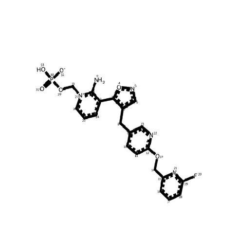 Nc1c(-c2oncc2Cc2ccc(OCc3cccc(F)n3)nc2)ccc[n+]1COP(=O)([O-])O